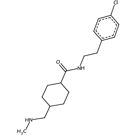 CNCC1CCC(C(=O)NCCc2ccc(Cl)cc2)CC1